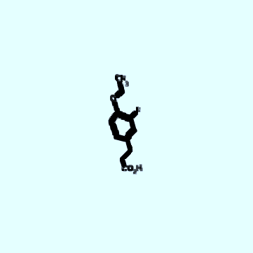 O=C(O)CCc1ccc(OCC(F)(F)F)c(F)c1